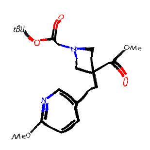 COC(=O)C1(Cc2ccc(OC)nc2)CN(C(=O)OC(C)(C)C)C1